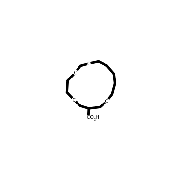 O=C(O)C1CCCCCCCCCCCCCC1